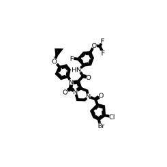 O=C(Nc1ccc(OC(F)F)cc1F)c1c2n(c(=O)n1-c1ccc(OC3CC3)cc1)CCN(C(=O)c1ccc(Br)c(Cl)c1)C2